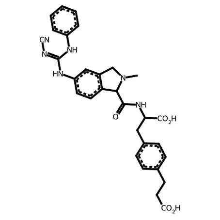 CN1Cc2cc(NC(=NC#N)Nc3ccccc3)ccc2C1C(=O)NC(Cc1ccc(CCC(=O)O)cc1)C(=O)O